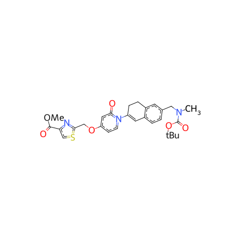 COC(=O)c1csc(COc2ccn(C3=Cc4ccc(CN(C)C(=O)OC(C)(C)C)cc4CC3)c(=O)c2)n1